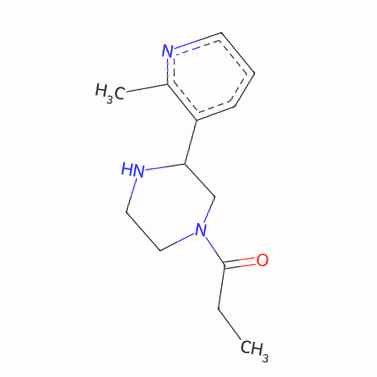 CCC(=O)N1CCNC(c2cccnc2C)C1